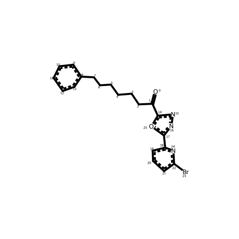 O=C(CCCCCCc1ccccc1)c1nnc(-c2cccc(Br)n2)o1